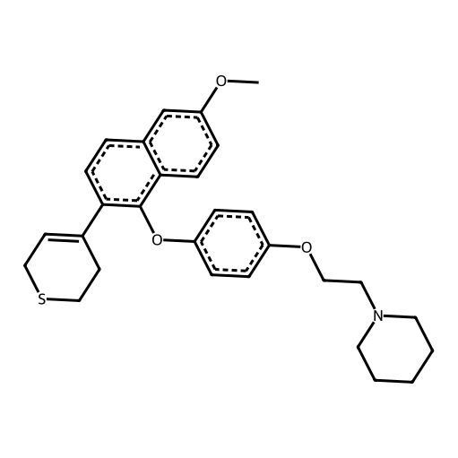 COc1ccc2c(Oc3ccc(OCCN4CCCCC4)cc3)c(C3=CCSCC3)ccc2c1